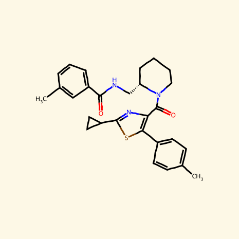 Cc1ccc(-c2sc(C3CC3)nc2C(=O)N2CCCC[C@H]2CNC(=O)c2cccc(C)c2)cc1